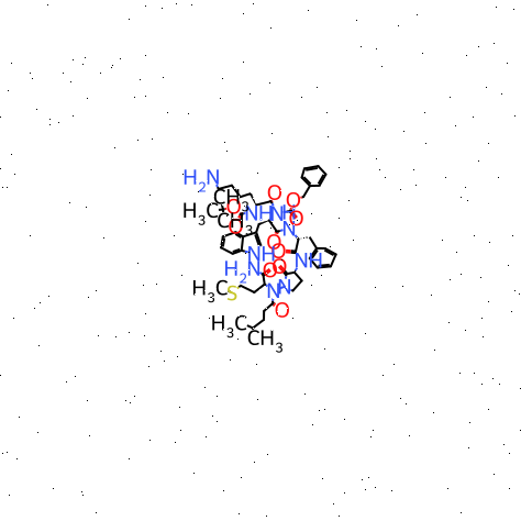 CSCCC(C(N)=O)N(C(=O)CCC(C)C)N1CC[C@H](NC(=O)[C@@H](Cc2ccccc2)NC(=O)[C@@H](Cc2c[nH]c3ccccc23)N(C(=O)OCc2ccccc2)C(=O)[C@H](CCCCN)NC(=O)OC(C)(C)C)C1=O